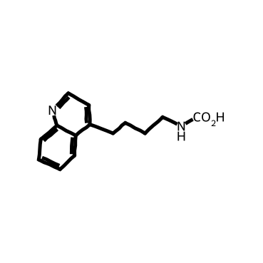 O=C(O)NCCCCc1ccnc2ccccc12